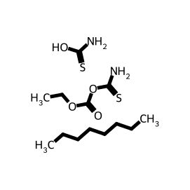 CCCCCCCC.CCOC(=O)OC(N)=S.NC(O)=S